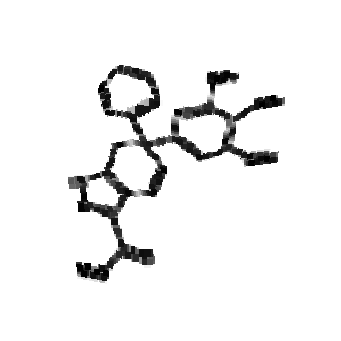 COC(=O)c1n[nH]c2c1C=CC(c1ccccc1)(c1cc(OC)c(OC)c(OC)c1)C2